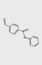 O=Cc1ccc(C(=O)[N-][n+]2ccccc2)cc1